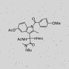 CCCCCCC(NC(C)=O)(C(=O)N(C)CCCC)c1c(C)n(C(=O)c2ccc(OC)cc2)c2ccc(OC(C)=O)cc12